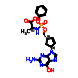 C[C@H](NP(=O)(OC[C@@H]1C=C[C@H](n2cnc3c(O)nc(N)nc32)C1)Oc1ccccc1)C(=O)O